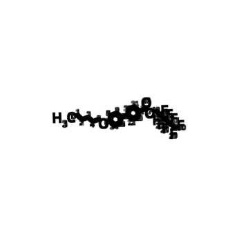 CCCCCCOc1ccc(-c2ccc(C(=O)OCC(F)(F)C(F)(F)C(F)(F)C(F)F)cc2)cc1